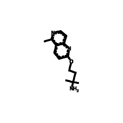 Cc1nccc2nc(OCCC(C)(C)N)ccc12